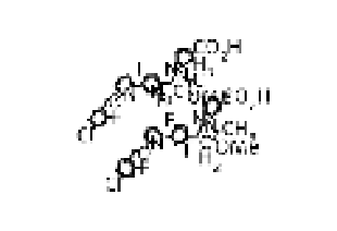 CO[C@@H](C)[C@H](C)n1c(Cc2cc(F)c(-c3cccc(OCc4ccc(Cl)cc4F)n3)cc2F)nc2ccc(C(=O)O)cc21.CO[C@@H](C)[C@H](C)n1c(Cc2cc(F)c(-c3cccc(OCc4ccc(Cl)cc4F)n3)cc2F)nc2ccc(C(=O)O)cc21